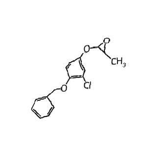 CC1OC1Oc1ccc(OCc2ccccc2)c(Cl)c1